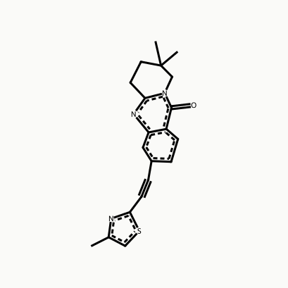 Cc1csc(C#Cc2ccc3c(=O)n4c(nc3c2)CCC(C)(C)C4)n1